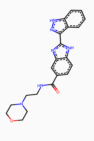 O=C(NCCN1CCOCC1)c1ccc2[nH]c(-c3n[nH]c4ccccc34)nc2c1